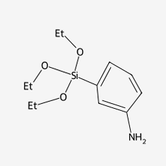 CCO[Si](OCC)(OCC)c1cccc(N)c1